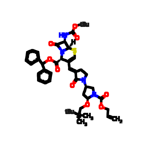 C=CCOC(=O)N1C[C@H](N2CC/C(=C\C3=CS[C@@H]4[C@H](NC(=O)OC(C)(C)C)C(=O)N4[C@H]3C(=O)OC(c3ccccc3)c3ccccc3)C2=O)C[C@@H]1OC[Si](C)(C)C(C)(C)C